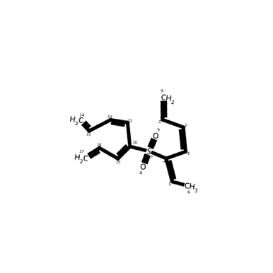 C=C/C=C\C(=C/C)S(=O)(=O)C(/C=C\C=C)=C/C=C